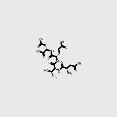 C[C@@H](O)[C@H](NC(=O)[C@@H](N)CC(=O)O)C(=O)N[C@@H](CCC(=O)O)C(=O)N[C@@H](CC(=O)O)C(=O)O